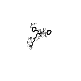 CC(C)c1c(C(=O)Nc2ccccc2)nn(-c2ccc(F)cc2)c1CC[C@@H](O)C[C@@H](O)CC(=O)[O-].[Na+]